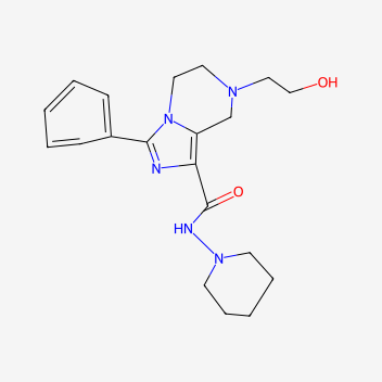 O=C(NN1CCCCC1)c1nc(-c2ccccc2)n2c1CN(CCO)CC2